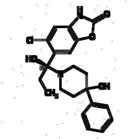 CC[C@](O)(c1cc2oc(=O)[nH]c2cc1Cl)N1CCC(O)(c2ccccc2)CC1